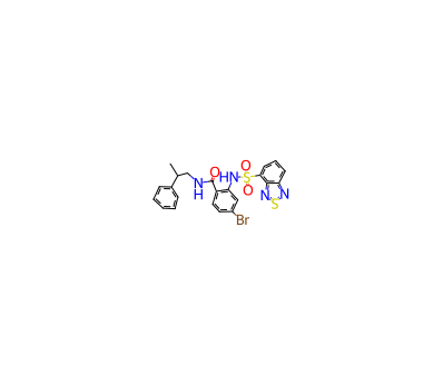 CC(CNC(=O)c1ccc(Br)cc1NS(=O)(=O)c1cccc2nsnc12)c1ccccc1